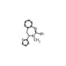 CC(C)C1=Nc2ccccc2CC(c2cccs2)N1C